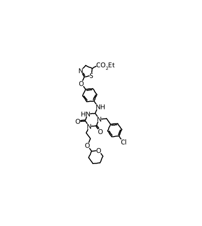 CCOC(=O)C1CN=C(Oc2ccc(NC3NC(=O)N(CCOC4CCCCO4)C(=O)N3Cc3ccc(Cl)cc3)cc2)S1